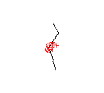 CCCCCCCC/C=C\CCCCCCCC(=O)O[C@H](CO)[C@H]1OC[C@H](O)[C@H]1OC(=O)CCCCCCCCCCCCCCC